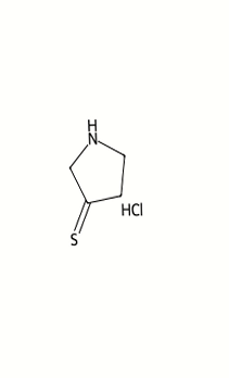 Cl.S=C1CCNC1